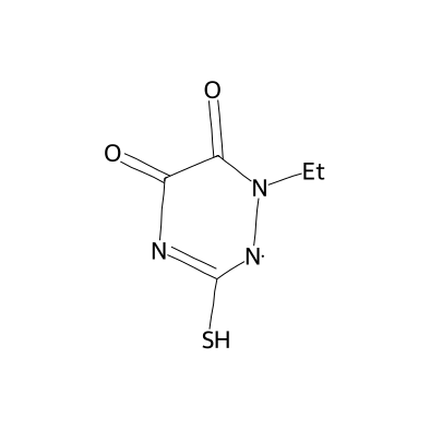 CCN1[N]C(S)=NC(=O)C1=O